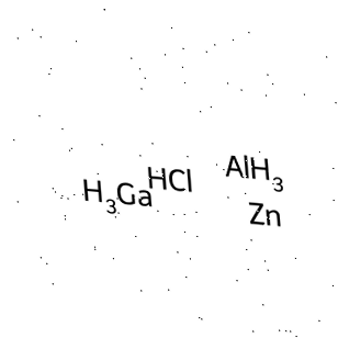 Cl.[AlH3].[GaH3].[Zn]